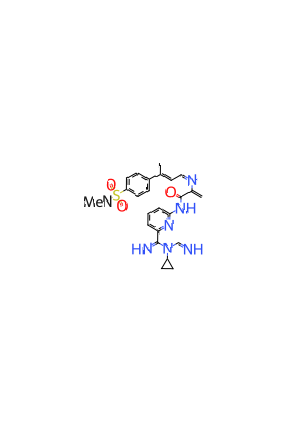 C=C(/N=C\C=C(/C)c1ccc(S(=O)(=O)NC)cc1)C(=O)Nc1cccc(C(=N)N(C=N)C2CC2)n1